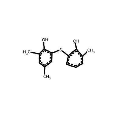 Cc1cc(C)c(O)c(Sc2cccc(C)c2O)c1